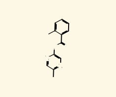 Cc1cnc(OC(=O)c2ccccc2C)cn1